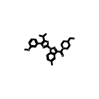 CCC1CCN(C(=O)c2nn(-c3nc(-c4cccc(OC)c4)c(C(C)C)s3)c3ccc(C)cc23)CC1